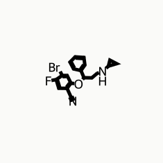 N#Cc1cc(F)c(Br)cc1OC(CCNC1CC1)c1ccccc1